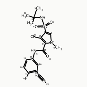 Cn1cc(S(=O)(=O)NC(C)(C)C)c(Cl)c1C(=O)Nc1ccc(F)c(C#N)c1